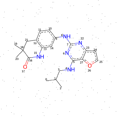 CC(C)CNc1nc(Nc2ccc3c(c2)NC(=O)C(C)(C)C3)nc2ccoc12